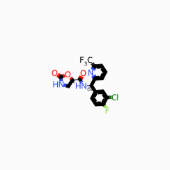 O=C1NC[C@@H](C(=O)N[C@@H](c2ccc(F)c(Cl)c2)c2cccc(C(F)(F)F)n2)O1